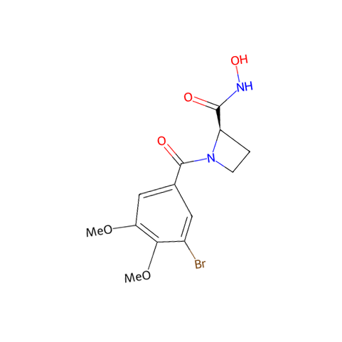 COc1cc(C(=O)N2CC[C@@H]2C(=O)NO)cc(Br)c1OC